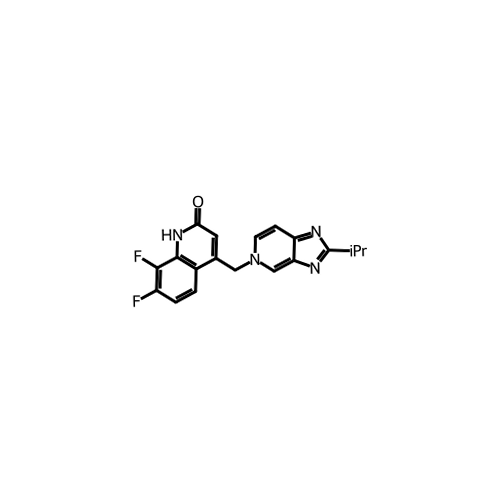 CC(C)c1nc2ccn(Cc3cc(=O)[nH]c4c(F)c(F)ccc34)cc-2n1